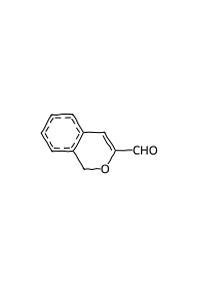 O=CC1=Cc2ccccc2CO1